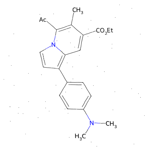 CCOC(=O)c1cc2c(-c3ccc(N(C)C)cc3)ccn2c(C(C)=O)c1C